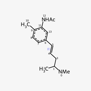 CNC(C)C/C=C/c1ccc(C)c(NC(C)=O)c1